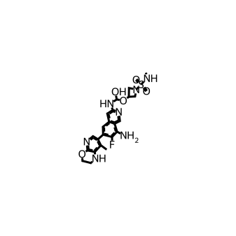 CNS(=O)(=O)N1CC(OC(O)Nc2cc3cc(-c4cnc5c(c4C)NCCO5)c(F)c(N)c3cn2)C1